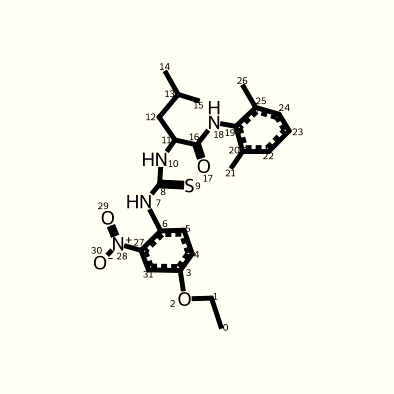 CCOc1ccc(NC(=S)NC(CC(C)C)C(=O)Nc2c(C)cccc2C)c([N+](=O)[O-])c1